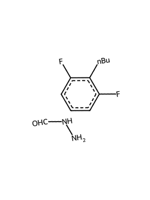 CCCCc1c(F)cccc1F.NNC=O